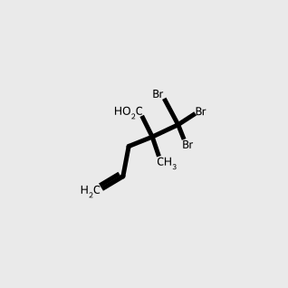 C=CCC(C)(C(=O)O)C(Br)(Br)Br